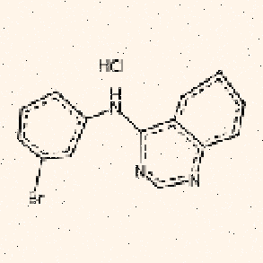 Brc1cccc(Nc2ncnc3ccccc23)c1.Cl